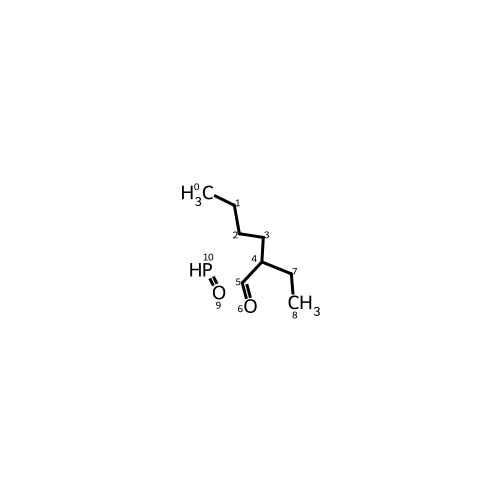 CCCCC(C=O)CC.O=P